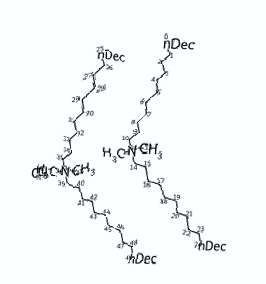 CCCCCCCCCCCCCCCCCCCC[N+](C)(C)CCCCCCCCCCCCCCCCCCCC.CCCCCCCCCCCCCCCCCCCC[N+](C)(C)CCCCCCCCCCCCCCCCCCCC.[Cl-].[Cl-]